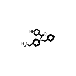 NCc1ccc(N(Cc2ccccc2)C(=O)C2CCNCC2)cc1